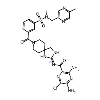 Cc1cnc(CN(C)S(=O)(=O)c2cccc(C(=O)N3CCC4(CC3)CN/C(=N\C(=O)c3nc(Cl)c(N)nc3N)N4)c2)cn1